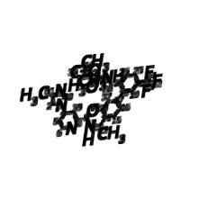 Cc1cn(-c2ccnc(C(=O)N[C@H](C)c3ccc(-c4cc(C(F)(F)F)ccc4CNC(=O)OC(C)(C)C)cc3)c2)cn1